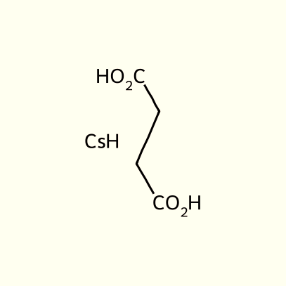 O=C(O)CCC(=O)O.[CsH]